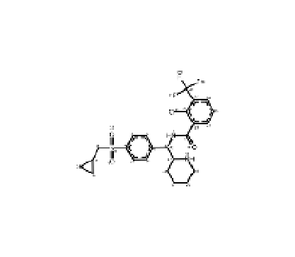 O=C(N[C@H](c1ccc(S(=O)(=O)CC2CC2)cc1)C1CCCCN1)c1cccc(C(F)(F)F)c1Cl